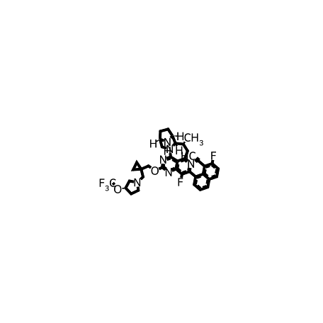 C#Cc1c(F)ccc2cccc(-c3nc4c5c(nc(OCC6(CN7CC[C@H](OC(F)(F)F)C7)CC6)nc5c3F)N3C[C@H]5CC[C@H](N5)[C@@H]3[C@@H](C)C4)c12